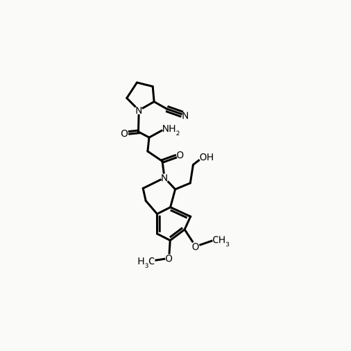 COc1cc2c(cc1OC)C(CCO)N(C(=O)CC(N)C(=O)N1CCCC1C#N)CC2